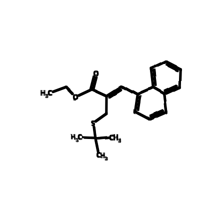 CCOC(=O)C(=Cc1cccc2ccccc12)CSC(C)(C)C